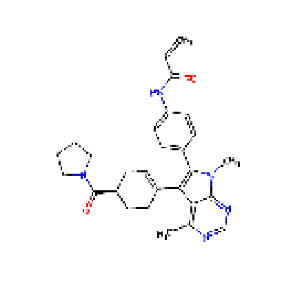 C=CC(=O)Nc1ccc(-c2c(C3=CC[C@H](C(=O)N4CCCC4)CC3)c3c(C)ncnc3n2C)cc1